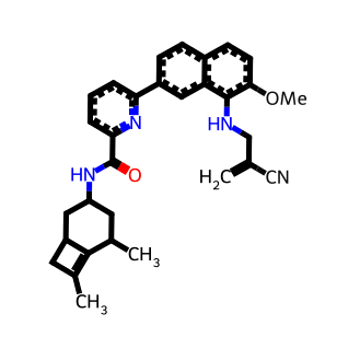 C=C(C#N)CNc1c(OC)ccc2ccc(-c3cccc(C(=O)NC4CC(C)C5=C(C)CC5C4)n3)cc12